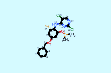 CP(C)Oc1cc(OCc2ccccc2)ccc1Nc1nc(Cl)ncc1Cl.P